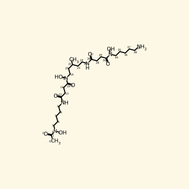 CC(=O)N(O)CCCCCNC(=O)CCC(=O)N(O)CCC(C)CCNC(=O)CCC(=O)N(O)CCCCCN